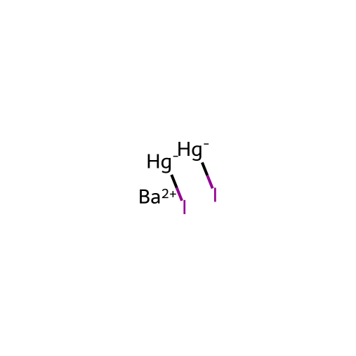 [Ba+2].[I][Hg-].[I][Hg-]